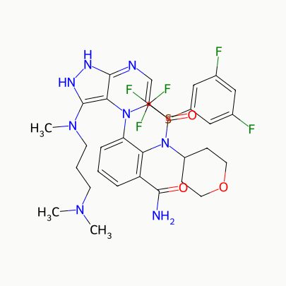 CN(C)CCCN(C)C1=C2C(=NC=C(Sc3cc(F)cc(F)c3)N2c2cccc(C(N)=O)c2N(C(=O)C(F)(F)F)C2CCOCC2)NN1